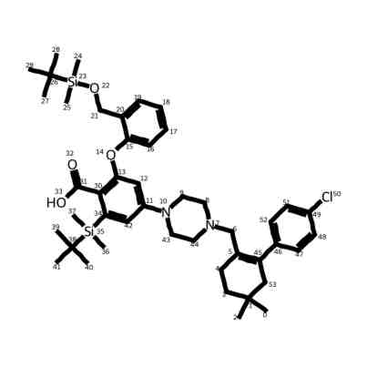 CC1(C)CCC(CN2CCN(c3cc(Oc4ccccc4CO[Si](C)(C)C(C)(C)C)c(C(=O)O)c([Si](C)(C)C(C)(C)C)c3)CC2)=C(c2ccc(Cl)cc2)C1